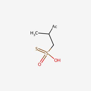 CC(=O)C(C)CS(=O)(O)=S